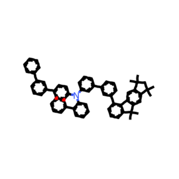 CC1(C)CC(C)(C)c2cc3c(cc21)-c1c(-c2cccc(-c4cccc(N(c5ccc(-c6cccc(-c7ccccc7)c6)cc5)c5ccccc5-c5ccccc5)c4)c2)cccc1C3(C)C